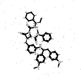 CC[C@@H](NC(=O)N1C(=O)[C@H](Cc2ccnc(NC(Cc3ccc(OC)cc3)c3ccc(OC)cc3)c2)[C@H]1C(=O)N(C)c1ccccc1)C1CCCCC1